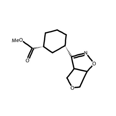 COC(=O)[C@@H]1CCC[C@H](C2=NOC3COCC23)C1